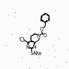 CSc1nc(Cl)c2c(n1)CN(C(=O)OCc1ccccc1)CC2